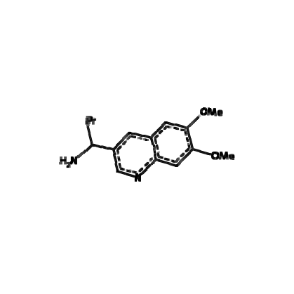 COc1cc2cc(C(N)C(C)C)cnc2cc1OC